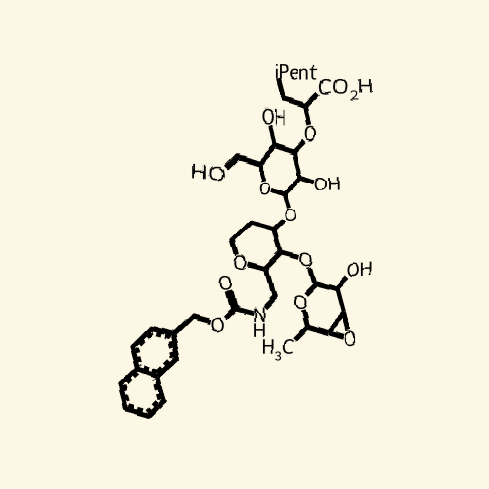 CCCC(C)CC(OC1C(O)C(CO)OC(OC2CCOC(CNC(=O)OCc3ccc4ccccc4c3)C2OC2OC(C)C3OC3C2O)C1O)C(=O)O